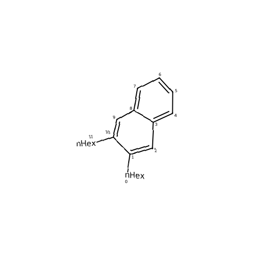 CCCCCCc1[c]c2ccccc2cc1CCCCCC